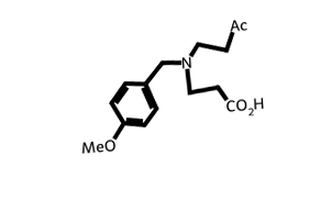 COc1ccc(CN(CCC(C)=O)CCC(=O)O)cc1